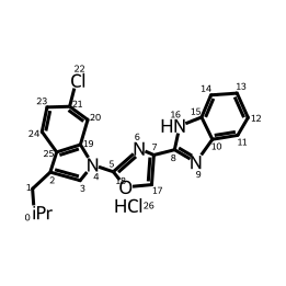 CC(C)Cc1cn(-c2nc(-c3nc4ccccc4[nH]3)co2)c2cc(Cl)ccc12.Cl